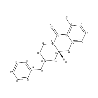 Cc1cccc2c1C(=O)N1CCN(Cc3ccccc3)C[C@H]1C2